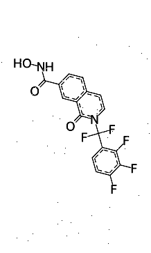 O=C(NO)c1ccc2ccn(C(F)(F)c3ccc(F)c(F)c3F)c(=O)c2c1